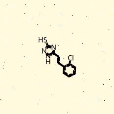 Sc1n[nH]c(C=Cc2ccccc2Cl)n1